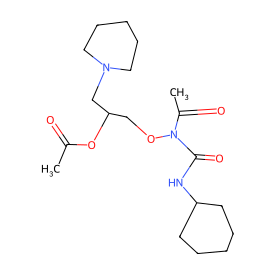 CC(=O)OC(CON(C(C)=O)C(=O)NC1CCCCC1)CN1CCCCC1